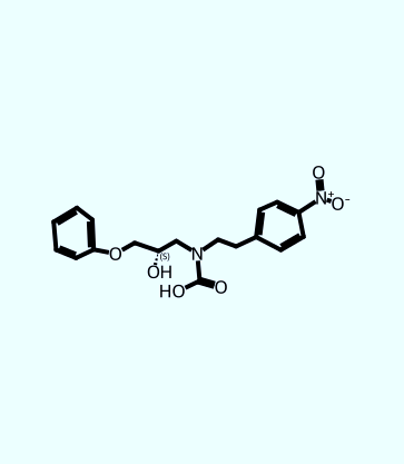 O=C(O)N(CCc1ccc([N+](=O)[O-])cc1)C[C@H](O)COc1ccccc1